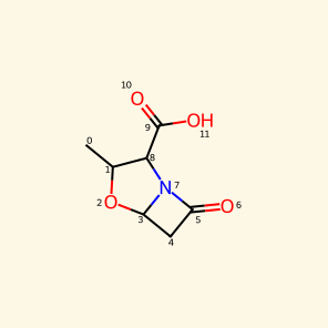 CC1OC2CC(=O)N2C1C(=O)O